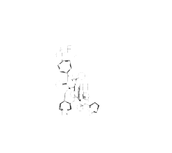 CC1(Cc2ccncc2NS(=O)(=O)c2cccs2)NC(=O)N(c2ccc(OC(F)(F)F)cc2)C1=O